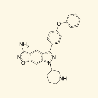 Nc1noc2cc3c(cc12)c(-c1ccc(Oc2ccccc2)cc1)nn3C1CCCNC1